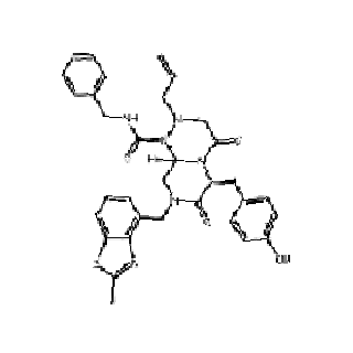 C=CCN1CC(=O)N2[C@@H](Cc3ccc(O)cc3)C(=O)N(Cc3cccc4sc(C)nc34)C[C@@H]2N1C(=O)NCc1ccccc1